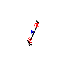 C=C=C=CC(CCCC)CCOC(=O)CCCCCCCCCC(CCCCCCCCCC(=O)OCCC(C)CCCC)CN(C)C